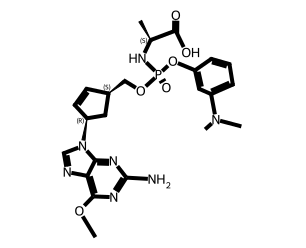 COc1nc(N)nc2c1ncn2[C@H]1C=C[C@@H](COP(=O)(N[C@@H](C)C(=O)O)Oc2cccc(N(C)C)c2)C1